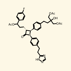 CC(=O)OCC(O)(CCc1ccc([C@@H]2[C@@H](CCC(OC(C)=O)c3ccc(F)cc3)C(=O)N2c2ccc(CCc3ncn[nH]3)cc2)cc1)COC(C)=O